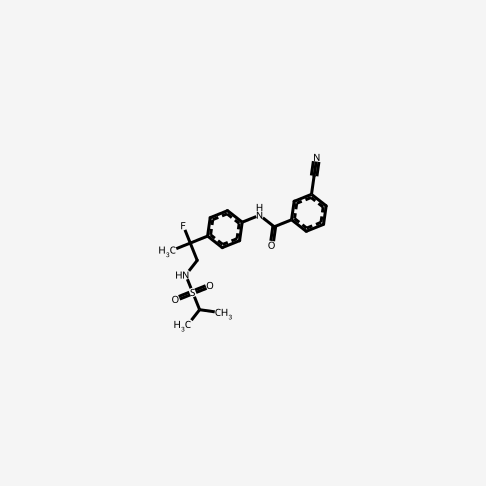 CC(C)S(=O)(=O)NCC(C)(F)c1ccc(NC(=O)c2cccc(C#N)c2)cc1